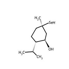 CC(C)[C@@H]1CC[C@@](C)([SeH])C[C@H]1O